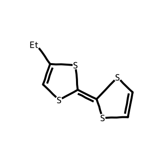 CCC1=CSC(=C2SC=CS2)S1